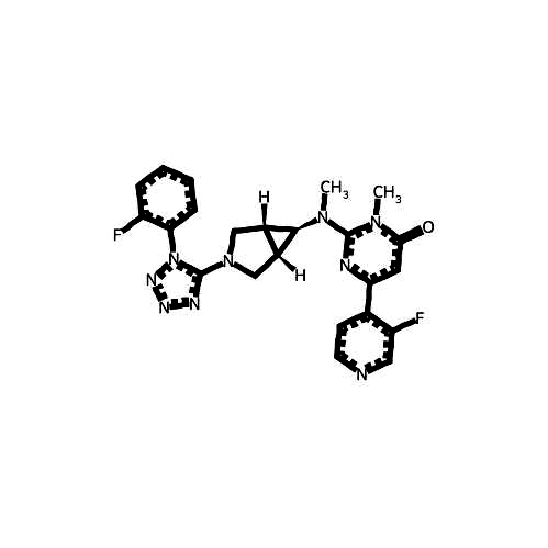 CN(c1nc(-c2ccncc2F)cc(=O)n1C)[C@H]1[C@@H]2CN(c3nnnn3-c3ccccc3F)C[C@@H]21